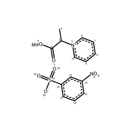 COC(=O)C(C)[n+]1ccccc1.O=[N+]([O-])c1cccc(S(=O)(=O)[O-])c1